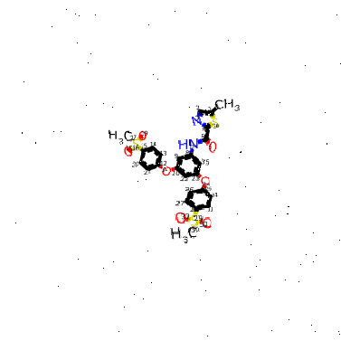 Cc1cnc(C(=O)Nc2cc(Oc3ccc(S(C)(=O)=O)cc3)cc(Oc3ccc(S(C)(=O)=O)cc3)c2)s1